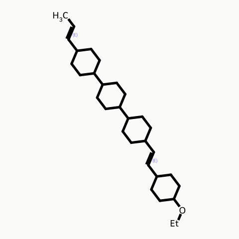 C/C=C/C1CCC(C2CCC(C3CCC(/C=C/C4CCC(OCC)CC4)CC3)CC2)CC1